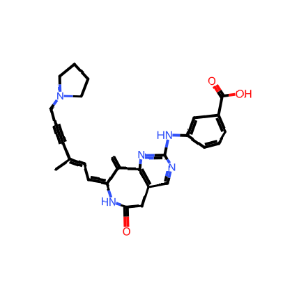 C=C1/C(=C\C=C(/C)C#CCN2CCCC2)NC(=O)Cc2cnc(Nc3cccc(C(=O)O)c3)nc21